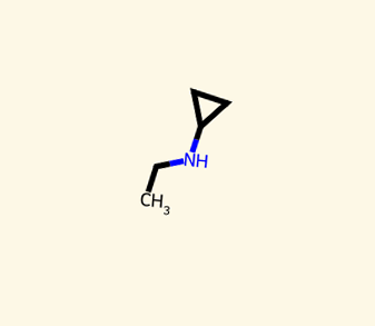 CCNC1CC1